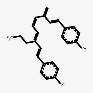 C=C(\C=C/C=C(/C=C/c1ccc(C(C)C)cc1)CCC(F)(F)F)/C=C/c1ccc(C(C)C)cc1